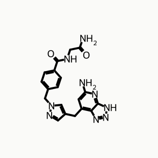 NC(=O)CNC(=O)c1ccc(Cn2cc(Cc3cc(N)nc4[nH]nnc34)cn2)cc1